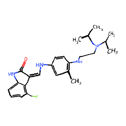 Cc1cc(NC=C2C(=O)Nc3cccc(F)c32)ccc1NCCN(C(C)C)C(C)C